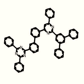 c1ccc(-c2cc(-c3ccccc3)cc(-c3nc(-c4ccccc4)cc(-c4cccc(-c5cccc(-c6nc(-c7ccccc7)nc(-c7ccccc7)n6)c5)c4)n3)c2)cc1